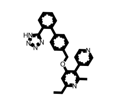 CCc1cc(OCc2ccc(-c3ccccc3-c3nnn[nH]3)cc2)c(-c2ccncc2)c(C)n1